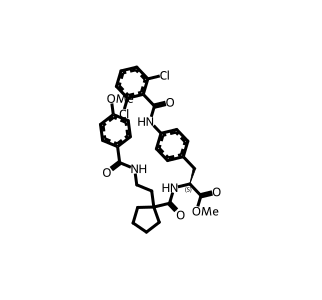 COC(=O)[C@H](Cc1ccc(NC(=O)c2c(Cl)cccc2Cl)cc1)NC(=O)C1(CCNC(=O)c2ccc(OC)cc2)CCCC1